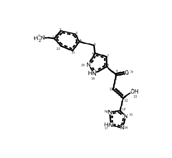 Nc1ccc(Cc2cc(C(=O)C=C(O)c3nn[nH]n3)[nH]n2)cc1